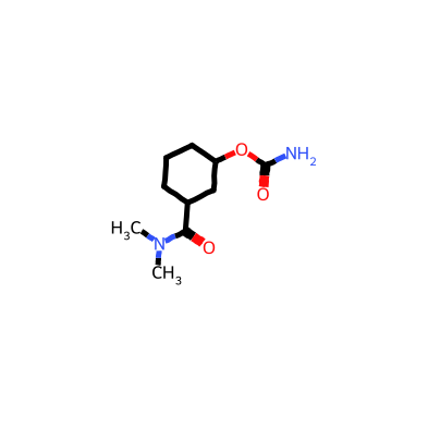 CN(C)C(=O)C1CCCC(OC(N)=O)C1